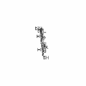 C#CCCCC(=O)NCCN(CCSCCC(=O)NCCNC(=O)OC(C)(C)C)C(=O)CC